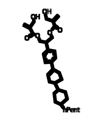 C=C(CO)C(=O)OCC(COC(=O)C(=C)CO)c1ccc(C2=CCC(C3CCC(CCCCC)CC3)CC2)cc1